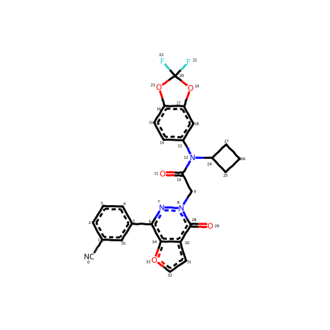 N#Cc1cccc(-c2nn(CC(=O)N(c3ccc4c(c3)OC(F)(F)O4)C3CCC3)c(=O)c3ccoc23)c1